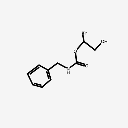 CC(C)C(CO)OC(=O)NCc1ccccc1